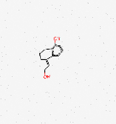 OCC=C1CCCc2c(O)cccc21